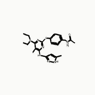 CCN(CC)c1nc(Sc2ccc(NC(C)=O)cc2)nc(Nc2cc(C)[nH]n2)c1C